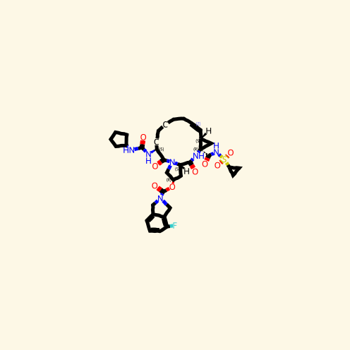 O=C(NC1CCCC1)N[C@H]1CCCCC/C=C\[C@@H]2C[C@@]2(C(=O)NS(=O)(=O)C2CC2)NC(=O)[C@@H]2C[C@@H](OC(=O)N3Cc4cccc(F)c4C3)CN2C1=O